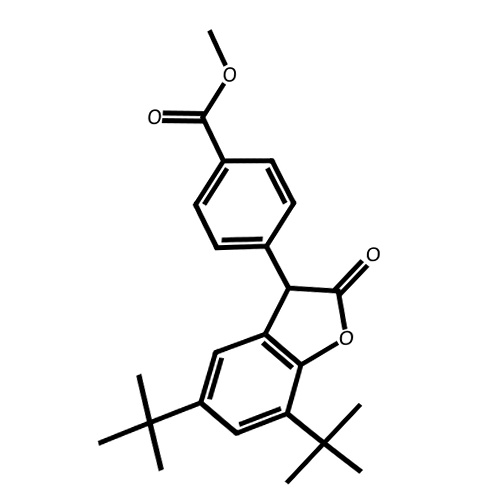 COC(=O)c1ccc(C2C(=O)Oc3c2cc(C(C)(C)C)cc3C(C)(C)C)cc1